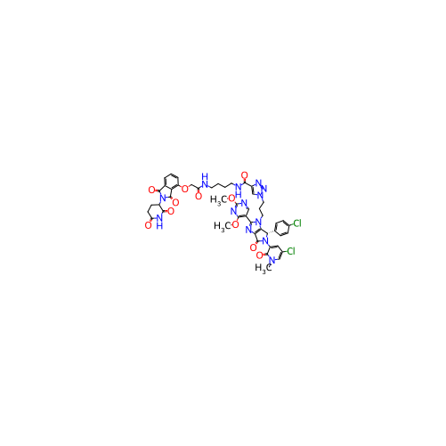 COc1ncc(-c2nc3c(n2CCCn2cc(C(=O)NCCCCNC(=O)COc4cccc5c4C(=O)N(C4CCC(=O)NC4=O)C5=O)nn2)[C@H](c2ccc(Cl)cc2)N(c2cc(Cl)cn(C)c2=O)C3=O)c(OC)n1